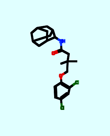 CC(C)(COc1ccc(Cl)cc1Cl)CC(=O)NC1C2CC3CC(C2)CC1C3